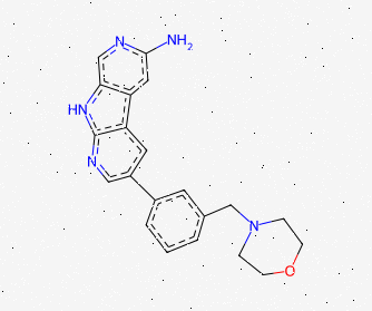 Nc1cc2c(cn1)[nH]c1ncc(-c3cccc(CN4CCOCC4)c3)cc12